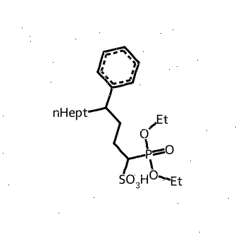 CCCCCCCC(CCC(P(=O)(OCC)OCC)S(=O)(=O)O)c1ccccc1